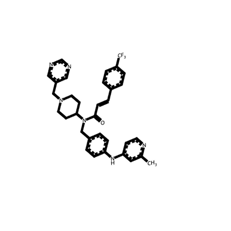 Cc1cc(Nc2ccc(CN(C(=O)/C=C/c3ccc(C(F)(F)F)cc3)C3CCN(Cc4cncnc4)CC3)cc2)ccn1